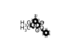 CCC(C)CN1C(=O)C(OCc2ccccc2)C(=O)c2cc(I)ccc21